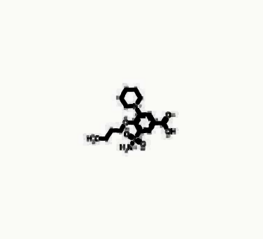 CCCCOc1c(N2CCCCC2)cc(C(=O)O)cc1S(N)(=O)=O